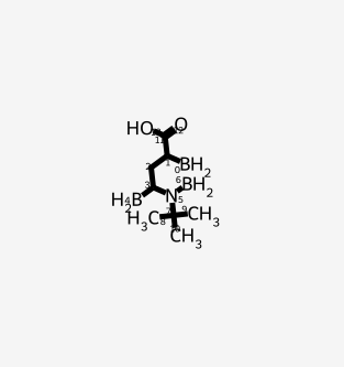 BC(CC(B)N(B)C(C)(C)C)C(=O)O